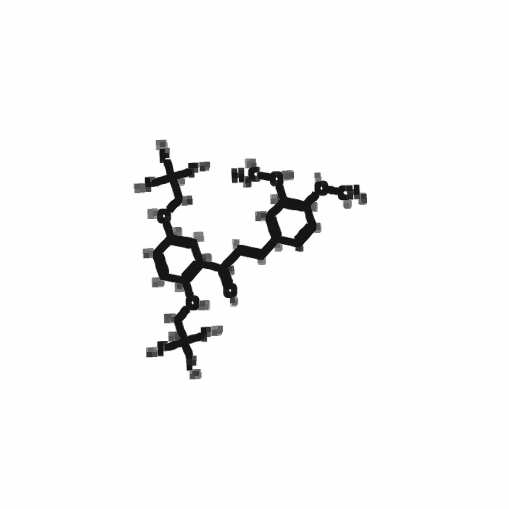 COc1ccc(C=CC(=O)c2cc(OCC(F)(F)F)ccc2OCC(F)(F)F)cc1OC